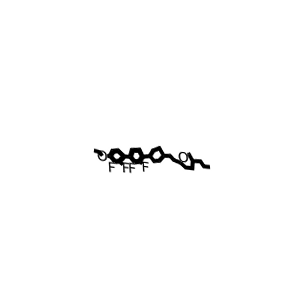 CCCC1CCC(CCC2CCC(c3ccc(-c4ccc(OCC)c(F)c4F)c(F)c3F)CC2)OC1